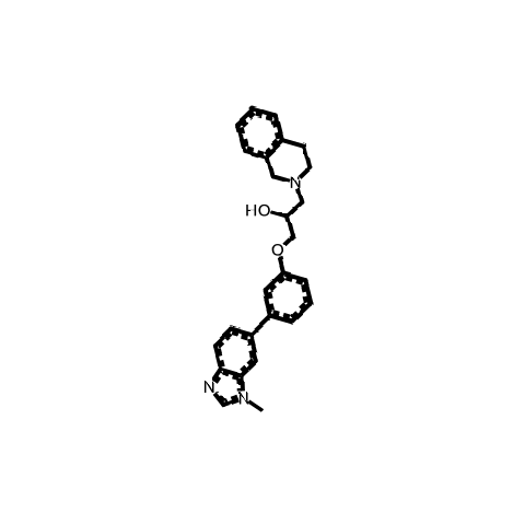 Cn1cnc2ccc(-c3cccc(OCC(O)CN4CCc5ccccc5C4)c3)cc21